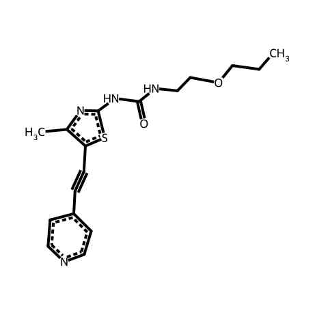 CCCOCCNC(=O)Nc1nc(C)c(C#Cc2ccncc2)s1